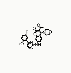 COc1ccc(F)cc1-c1ccnc(Nc2ccc3c(N4CCOCC4)c(C(C)=O)c(=O)oc3c2)n1